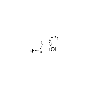 CCCC(O)CCF